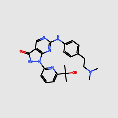 CN(C)CCc1ccc(Nc2ncc3c(=O)[nH]n(-c4cccc(C(C)(C)O)n4)c3n2)cc1